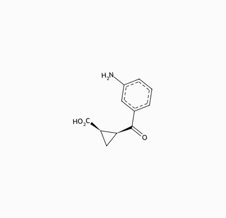 Nc1cccc(C(=O)[C@H]2C[C@H]2C(=O)O)c1